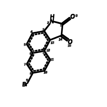 O=C1Nc2ccc3cc(Br)ccc3c2C1=O